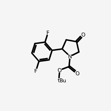 CC(C)(C)OC(=O)N1CC(=O)CC1c1cc(F)ccc1F